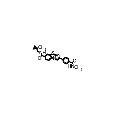 CNC(=O)c1ccc(-c2cn3c(n2)sc2cc(C(=O)NCC4(C)CC4)ccc23)cc1